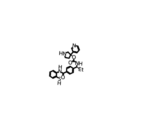 CC[C@H](NC(=O)O[C@@]1(c2cccnc2)CCNC1)c1ccc(C(=O)Nc2ccccc2S)cc1